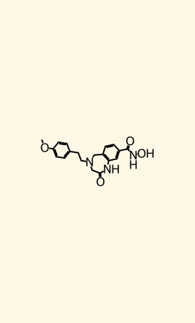 COc1ccc(CCN2CC(=O)Nc3cc(C(=O)NO)ccc3C2)cc1